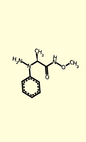 CONC(=O)[C@H](C)N(N)c1ccccc1